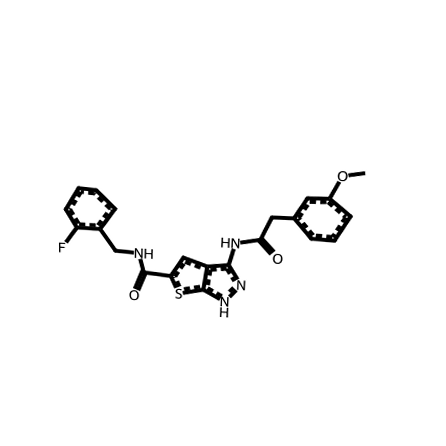 COc1cccc(CC(=O)Nc2n[nH]c3sc(C(=O)NCc4ccccc4F)cc23)c1